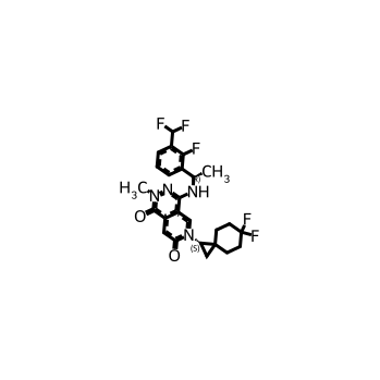 C[C@@H](Nc1nn(C)c(=O)c2cc(=O)n([C@H]3CC34CCC(F)(F)CC4)cc12)c1cccc(C(F)F)c1F